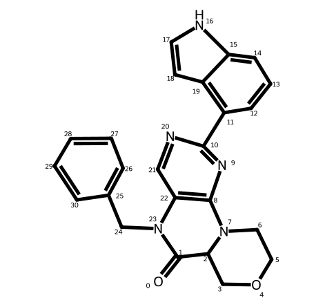 O=C1C2COCCN2c2nc(-c3cccc4[nH]ccc34)ncc2N1Cc1ccccc1